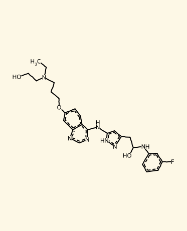 CCN(CCO)CCCOc1ccc2c(Nc3cc(CC(O)Nc4cccc(F)c4)n[nH]3)ncnc2c1